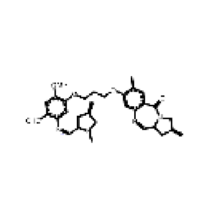 C=C1CC(/C=N\c2cc(OCCCOc3cc4c(cc3C)C(=O)N3CC(=C)CC3C=N4)c(OC)cc2C=O)N(C)C1